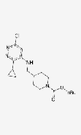 CCCCOC(=O)N1CCC(CNc2cc(Cl)nnc2C2CC2)CC1